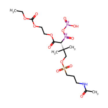 CCOC(=O)OCCOC(=O)[C@H]([PH](=O)O[PH](=O)O)C(C)(C)COS(=O)(=O)CCCNC(C)=O